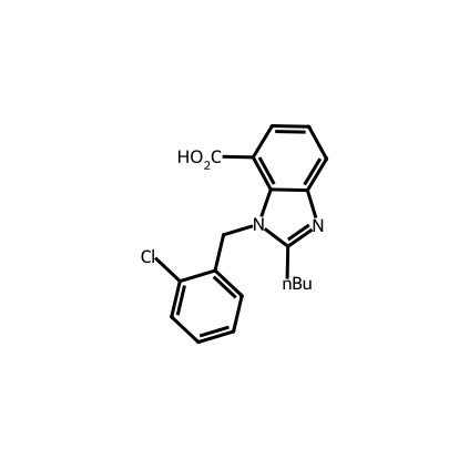 CCCCc1nc2cccc(C(=O)O)c2n1Cc1ccccc1Cl